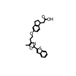 Cc1oc(-c2cc3ccccc3s2)nc1CCOc1ccc2c(c1)CCC2CC(=O)O